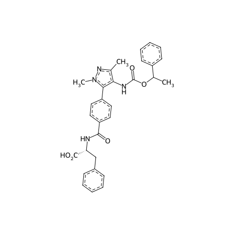 Cc1nn(C)c(-c2ccc(C(=O)N[C@H](Cc3ccccc3)C(=O)O)cc2)c1NC(=O)OC(C)c1ccccc1